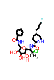 C[C@H](Cl)[C@@H](NC(=O)[C@@H]1CC[C@H](CCCCF)CCN1)[C@H]1OC(CNC(=O)c2ccccc2)[C@H](O)C(O)C1O